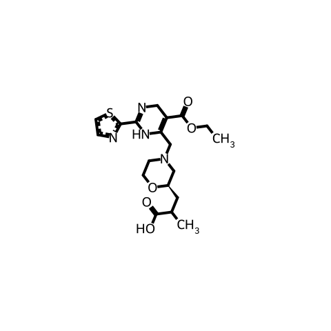 CCOC(=O)C1=C(CN2CCO[C@H](CC(C)C(=O)O)C2)NC(c2nccs2)=NC1